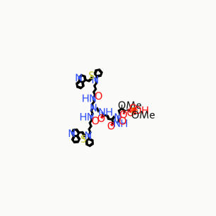 CO[C@@H]1C[C@H](n2cc(/C=C/C(=O)NCCN(CCNC(=O)CCCCN3/C(=C/c4ccnc5ccccc45)Sc4ccccc43)CCNC(=O)CCCCN3/C(=C/c4ccnc5ccccc45)Sc4ccccc43)c(=O)[nH]c2=O)O[C@@H]1COP(=O)(O)OC